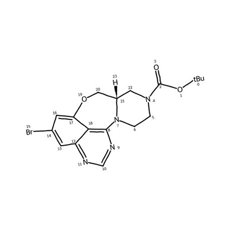 CC(C)(C)OC(=O)N1CCN2c3ncnc4cc(Br)cc(c34)OC[C@@H]2C1